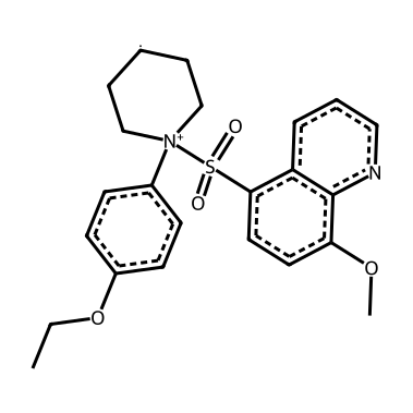 CCOc1ccc([N+]2(S(=O)(=O)c3ccc(OC)c4ncccc34)CC[CH]CC2)cc1